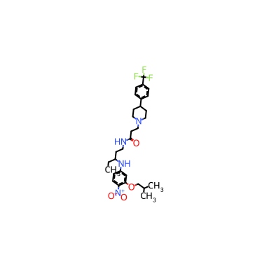 CCC(CCNC(=O)CCN1CCC(c2ccc(C(F)(F)F)cc2)CC1)Nc1ccc([N+](=O)[O-])c(OCC(C)C)c1